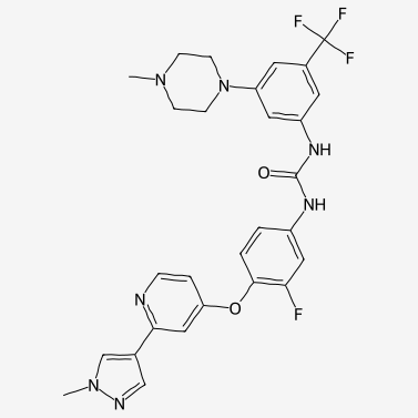 CN1CCN(c2cc(NC(=O)Nc3ccc(Oc4ccnc(-c5cnn(C)c5)c4)c(F)c3)cc(C(F)(F)F)c2)CC1